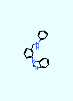 c1ccc(NCc2cccc(-n3cnc4ccccc43)c2)cc1